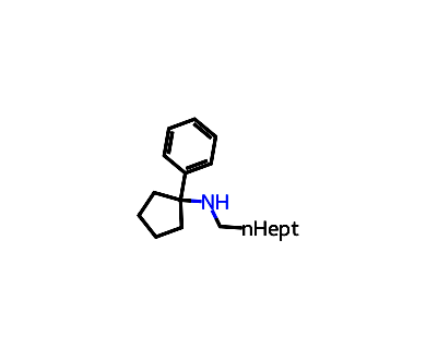 CCCCCCCCNC1(c2ccccc2)CCCC1